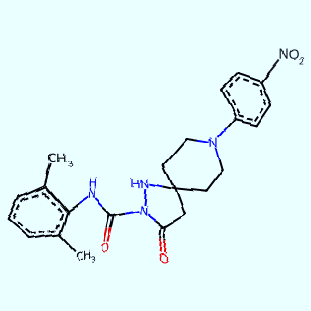 Cc1cccc(C)c1NC(=O)N1NC2(CCN(c3ccc([N+](=O)[O-])cc3)CC2)CC1=O